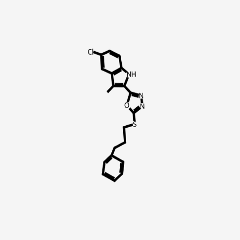 Cc1c(-c2nnc(SCCCc3ccccc3)o2)[nH]c2ccc(Cl)cc12